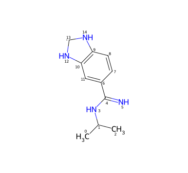 CC(C)NC(=N)c1ccc2c(c1)N[CH]N2